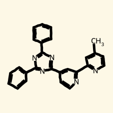 Cc1ccnc(-c2cc(-c3nc(-c4ccccc4)nc(-c4ccccc4)n3)ccn2)c1